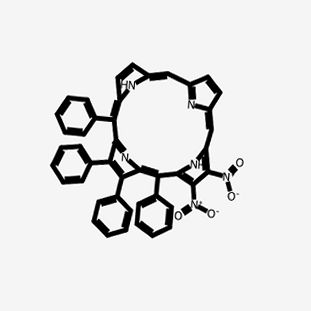 O=[N+]([O-])c1c([N+](=O)[O-])c2[nH]c1cc1nc(cc3ccc([nH]3)c(-c3ccccc3)c3nc(c2-c2ccccc2)C(c2ccccc2)=C3c2ccccc2)C=C1